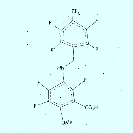 COc1c(F)c(F)c(NCc2c(F)c(F)c(C(F)(F)F)c(F)c2F)c(F)c1C(=O)O